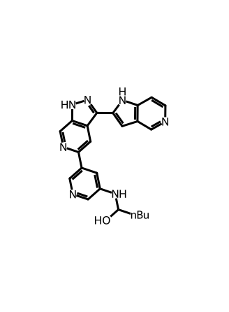 CCCCC(O)Nc1cncc(-c2cc3c(-c4cc5cnccc5[nH]4)n[nH]c3cn2)c1